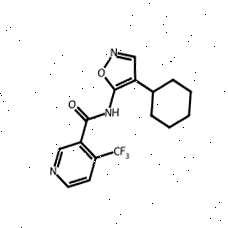 O=C(Nc1oncc1C1CCCCC1)c1cnccc1C(F)(F)F